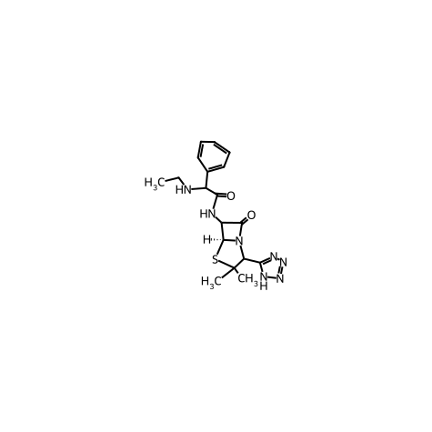 CCNC(C(=O)NC1C(=O)N2C(c3nnn[nH]3)C(C)(C)S[C@@H]12)c1ccccc1